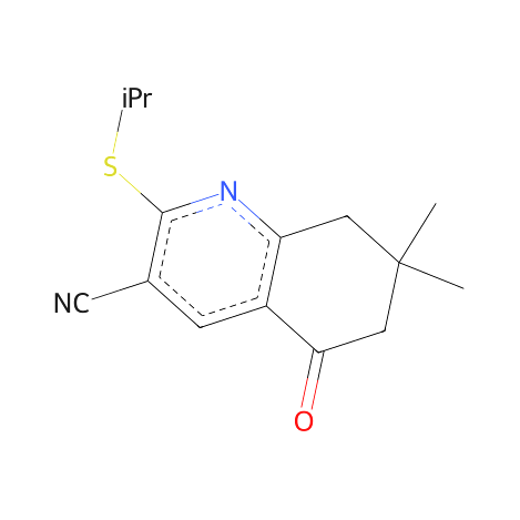 CC(C)Sc1nc2c(cc1C#N)C(=O)CC(C)(C)C2